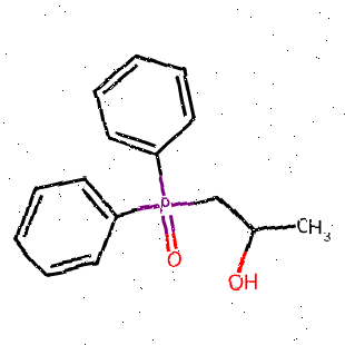 CC(O)CP(=O)(c1ccccc1)c1ccccc1